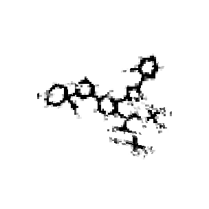 CC(C)(C)OC(=O)N(C(=O)OC(C)(C)C)c1ncc(-c2ccnc(C3(C#N)CCNCC3)c2)nc1-c1cc(-c2ccccc2F)no1